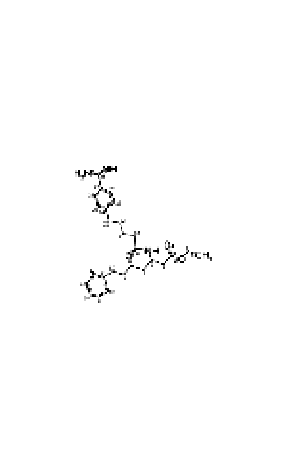 CCOC(=O)CC(CCCCc1ccccc1)NC(=O)CCCCc1ccc(C(=N)N)cc1